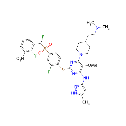 COc1c(Nc2cc(C)[nH]n2)nc(Sc2ccc(S(=O)(=O)C(F)c3cccc([N+](=O)[O-])c3F)cc2F)nc1N1CCC(CCN(C)C)CC1